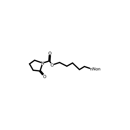 CCCCCCCCCCCCCCOC(=O)N1CCCC1=O